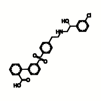 O=C(O)c1ccccc1-c1cccc(S(=O)(=O)c2ccc(CCNC[C@H](O)c3cccc(Cl)c3)cc2)c1